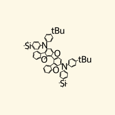 CC(C)(C)c1ccc(N(c2ccc([Si](C)(C)C)cc2)c2cc3oc4cc(N(c5ccc(C(C)(C)C)cc5)c5ccc([Si](C)(C)C)cc5)c5c6ccccc6oc5c4c3c3c2oc2ccccc23)cc1